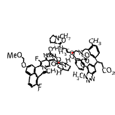 C#Cc1c(F)ccc2cc(OCOC)cc(-c3ncc4c(N5C[C@H]6CC[C@@H](C5)N6C(=O)OC(C)(C)C)nc(OC[C@]5(C(=O)NCCOCCOc6cc(C(CC(=O)OCC)c7ccc(C)c(CN8C[C@@H](C)Oc9ccccc9S8(=O)=O)c7)cc7nnn(C)c67)CCCN5C)nc4c3F)c12